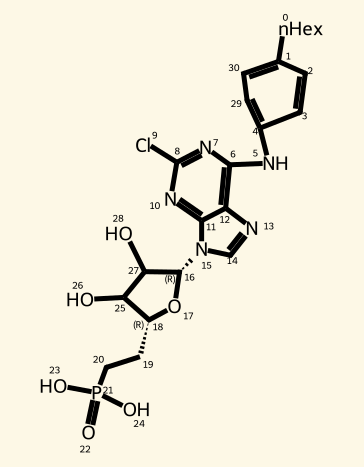 CCCCCCc1ccc(Nc2nc(Cl)nc3c2ncn3[C@@H]2O[C@H](CCP(=O)(O)O)C(O)C2O)cc1